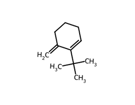 C=C1CCCC=C1C(C)(C)C